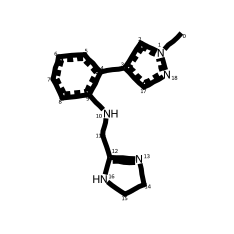 Cn1cc(-c2ccccc2NCC2=NCCN2)cn1